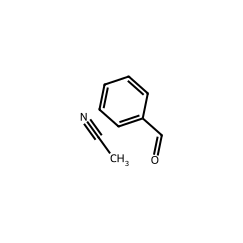 CC#N.O=Cc1ccccc1